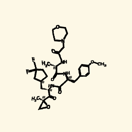 COc1ccc(C[C@H](NC(=O)[C@H](C)NC(=O)CN2CCOCC2)C(=O)N[C@@H](C[C@@H]2CCC(F)(F)C2)C(=O)[C@]2(C)CO2)cc1